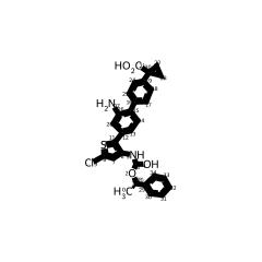 C[C@@H](OC(O)Nc1cc(Cl)sc1-c1ccc(-c2ccc(C3(C(=O)O)CC3)cc2)c(N)c1)c1ccccc1